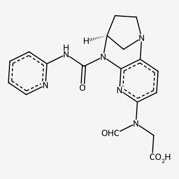 O=CN(CC(=O)O)c1ccc2c(n1)N(C(=O)Nc1ccccn1)[C@H]1CCN2C1